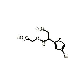 O=C(O)CONC(C[N+](=O)[O-])c1cc(Br)cs1